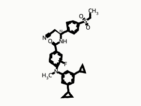 CCS(=O)(=O)c1ccc([C@H](CC#N)NC(=O)c2ccc(N(C)c3cc(C4CC4)cc(C4CC4)c3)c(F)c2)cc1